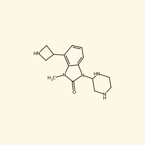 Cn1c(=O)n(C2CNCCN2)c2cccc(C3CNC3)c21